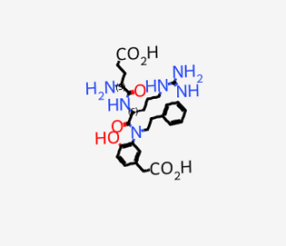 N=C(N)NCCC[C@H](NC(=O)[C@@H](N)CCC(=O)O)C(=O)N(CCc1ccccc1)c1cc(CC(=O)O)ccc1O